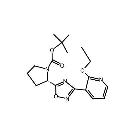 CCOc1ncccc1-c1noc([C@@H]2CCCN2C(=O)OC(C)(C)C)n1